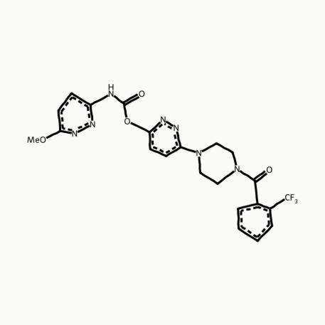 COc1ccc(NC(=O)Oc2ccc(N3CCN(C(=O)c4ccccc4C(F)(F)F)CC3)nn2)nn1